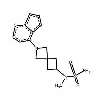 CN(C1CC2(C1)CN(c1cnnn3cccc13)C2)S(N)(=O)=O